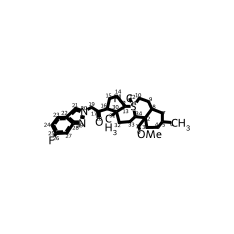 COCC12CCC(C)CC1CCS1(C)C3CCC(C(=O)Cn4cc5ccc(F)cc5n4)C3(C)CCC21